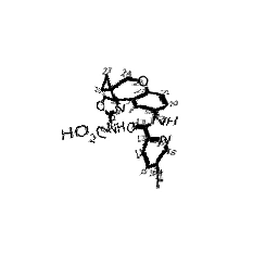 O=C(O)NC1=NC2(CO1)c1cc(NC(=O)c3ccc(F)cn3)ccc1OCC21CC1